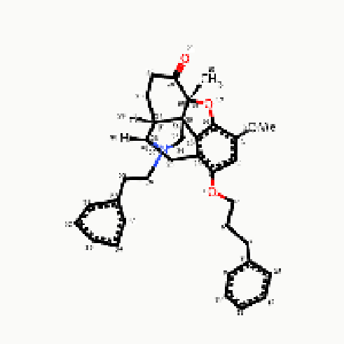 COc1cc(OCCCc2ccccc2)c2c3c1O[C@@]1(C)C(=O)CC[C@H]4[C@@H](C2)N(CCc2ccccc2)CC[C@@]341